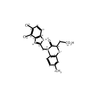 Cc1ccc2c(c1)SC(CC(=O)O)C(=O)N2Cc1nc2c(Cl)c(Cl)ccc2s1